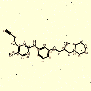 C#CCOc1nc(Nc2cccc(OCC(O)CN3CCOCC3)c2)ncc1Br